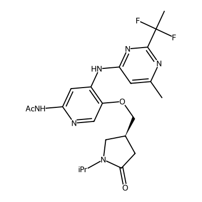 CC(=O)Nc1cc(Nc2cc(C)nc(C(C)(F)F)n2)c(OC[C@H]2CC(=O)N(C(C)C)C2)cn1